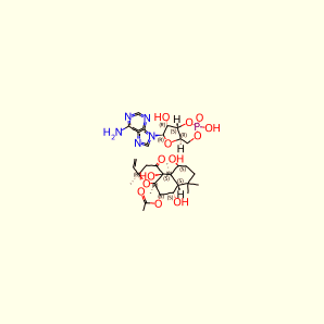 C=C[C@@]1(C)CC(=O)[C@]2(O)[C@@]3(C)[C@@H](O)CCC(C)(C)[C@@H]3[C@H](O)[C@H](OC(C)=O)[C@@]2(C)O1.Nc1ncnc2c1ncn2[C@@H]1O[C@@H]2COP(=O)(O)O[C@H]2[C@H]1O